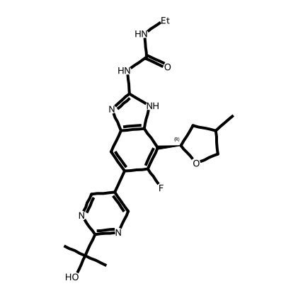 CCNC(=O)Nc1nc2cc(-c3cnc(C(C)(C)O)nc3)c(F)c([C@H]3CC(C)CO3)c2[nH]1